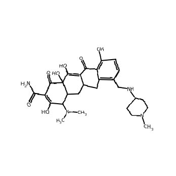 CN1CCC(NCc2ccc(O)c3c2CC2CC4C(N(C)C)C(O)=C(C(N)=O)C(=O)C4(O)C(O)=C2C3=O)CC1